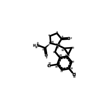 NC(=O)[C@@H]1CCC(=O)[N+]1(Cc1ccc(Cl)cc1Cl)C1CC1